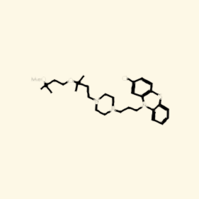 COC(C)(C)CCOC(C)(C)CCN1CCN(CCCN2c3ccccc3Sc3ccc(Cl)cc32)CC1